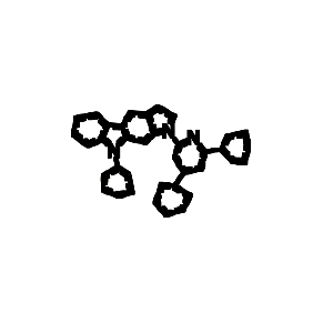 c1ccc(-c2cc(-c3ccccc3)nc(-n3ccc4cc5c6ccccc6n(-c6ccccc6)c5cc43)c2)cc1